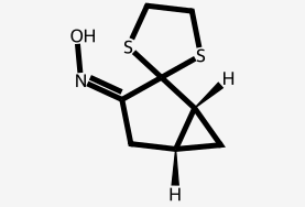 O/N=C1/C[C@H]2C[C@H]2C12SCCS2